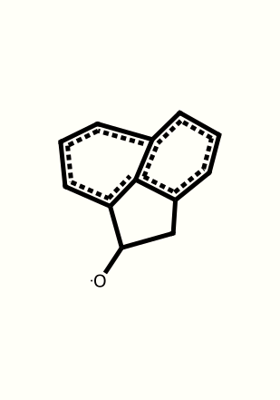 [O]C1Cc2cccc3cccc1c23